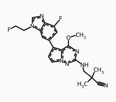 COc1nc(NCC(C)(C)C#N)nn2ccc(-c3cc(F)c4ncn(CCF)c4c3)c12